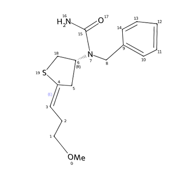 COCC/C=C1\C[C@@H](N(Cc2ccccc2)C(N)=O)CS1